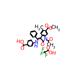 COC(=O)c1cc2c(cc1C)/C(=C(/Nc1ccc(C(=O)O)cc1)c1ccccc1)C(=O)N2C(C)=O.O=C(O)C(F)(F)F